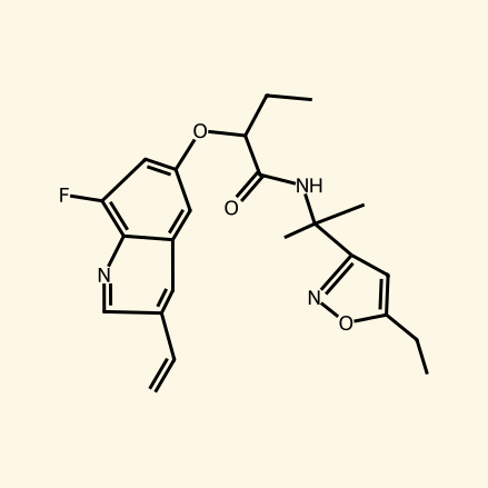 C=Cc1cnc2c(F)cc(OC(CC)C(=O)NC(C)(C)c3cc(CC)on3)cc2c1